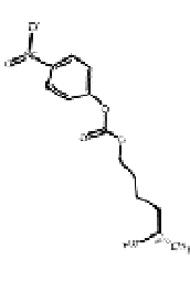 C[C@H](O)CCCCOC(=O)Oc1ccc([N+](=O)[O-])cc1